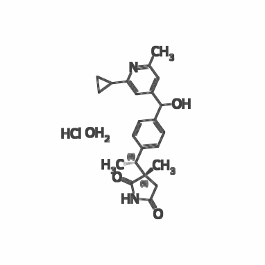 Cc1cc(C(O)c2ccc([C@@H](C)[C@]3(C)CC(=O)NC3=O)cc2)cc(C2CC2)n1.Cl.O